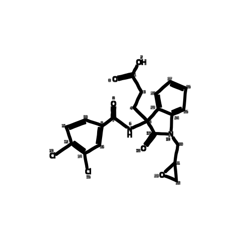 O=C(O)CCC1(NC(=O)c2ccc(Cl)c(Cl)c2)C(=O)N(CC2CO2)c2ccccc21